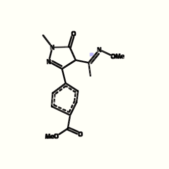 CO/N=C(\C)C1C(=O)N(C)N=C1c1ccc(C(=O)OC)cc1